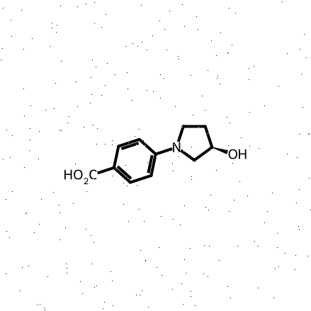 O=C(O)c1ccc(N2CC[C@@H](O)C2)cc1